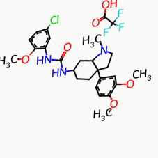 COc1ccc(Cl)cc1NC(=O)NC1CCC2(c3ccc(OC)c(OC)c3)CCN(C)C2C1.O=C(O)C(F)(F)F